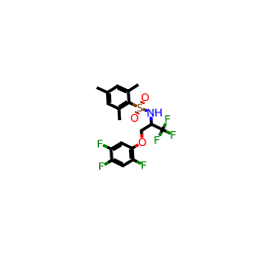 Cc1cc(C)c(S(=O)(=O)NC(COc2cc(F)c(F)cc2F)C(F)(F)F)c(C)c1